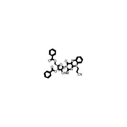 COC1[C@H](n2c(=O)nc3n(CCC#N)c4ccccc4nc-3c2=O)O[C@H](COC(=O)c2ccccc2)[C@H]1OC(=O)c1ccccc1